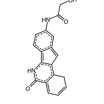 O=C(CO)Nc1ccc2c(c1)=Cc1c3c(c(=O)[nH]c1=2)=CC=CC3